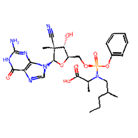 CCCC(C)CN([C@@H](C)C(=O)O)[P@@](=O)(OC[C@H]1O[C@@H](n2cnc3c(=O)[nH]c(N)nc32)[C@](C)(C#N)[C@@H]1O)Oc1ccccc1